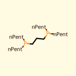 CCCCCP(CCCCC)CCCP(CCCCC)CCCCC